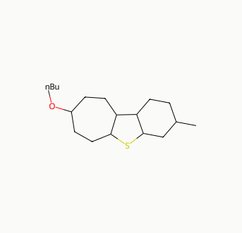 CCCCOC1CCC2SC3CC(C)CCC3C2CC1